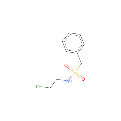 O=S(=O)(Cc1ccccc1)NCCCl